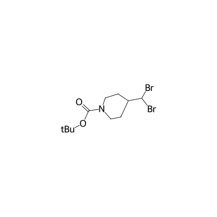 CC(C)(C)OC(=O)N1CCC(C(Br)Br)CC1